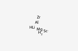 [Al].[LiH].[MgH2].[Sc].[Zr]